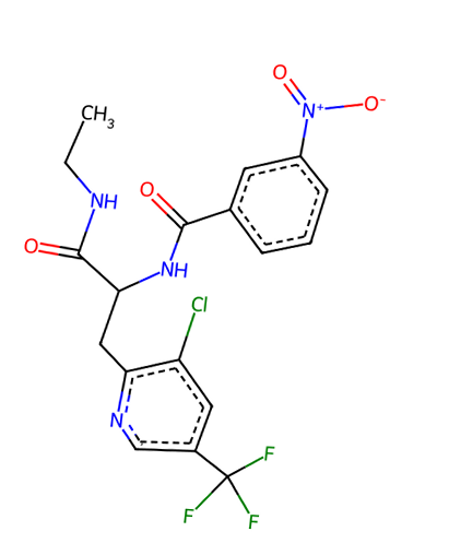 CCNC(=O)C(Cc1ncc(C(F)(F)F)cc1Cl)NC(=O)c1cccc([N+](=O)[O-])c1